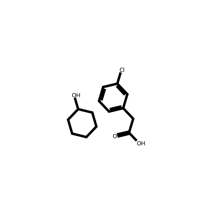 O=C(O)Cc1cccc(Cl)c1.OC1CCCCC1